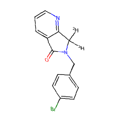 [2H]C1([2H])c2ncccc2C(=O)N1Cc1ccc(Br)cc1